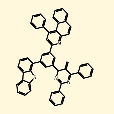 C=C1C(c2ccccc2)=NC(c2ccccc2)=NC1c1cc(-c2cc(-c3ccccc3)c3c(ccc4ccccc43)n2)cc(-c2cccc3c2sc2ccccc23)c1